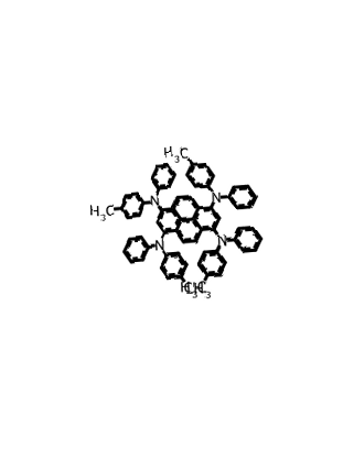 Cc1ccc(N(c2ccccc2)c2cc(N(c3ccccc3)c3ccc(C)cc3)c3ccc4c(N(c5ccccc5)c5ccc(C)cc5)cc(N(c5ccccc5)c5ccc(C)cc5)c5ccc2c3c54)cc1